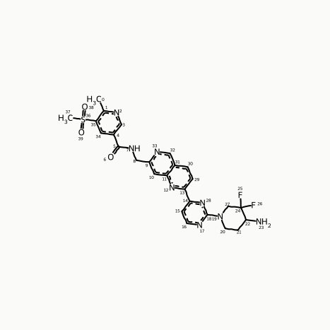 Cc1ncc(C(=O)NCc2cc3nc(-c4ccnc(N5CCC(N)C(F)(F)C5)n4)ccc3cn2)cc1S(C)(=O)=O